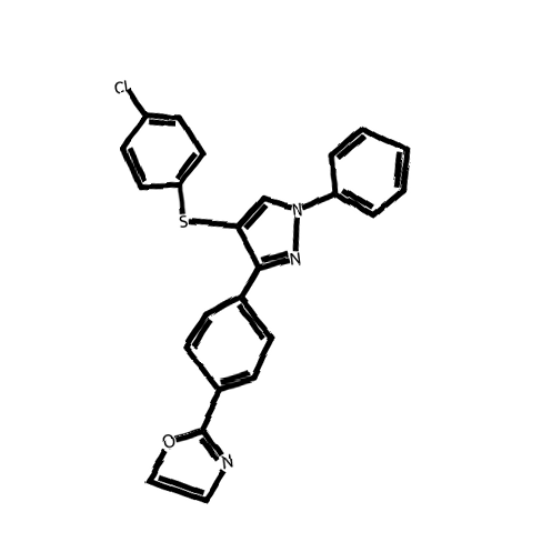 Clc1ccc(Sc2cn(-c3ccccc3)nc2-c2ccc(-c3ncco3)cc2)cc1